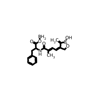 BOC(=O)C(Cc1ccccc1)NC(=O)/C(C)=C/C=C1/COB(O)C1=C